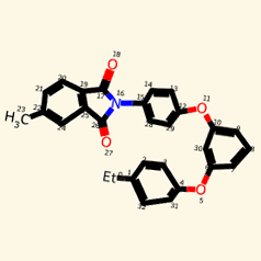 CCc1ccc(Oc2cccc(Oc3ccc(N4C(=O)c5ccc(C)cc5C4=O)cc3)c2)cc1